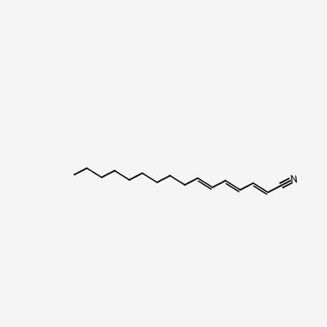 CCCCCCCCC/C=C/C=C/C=C/C#N